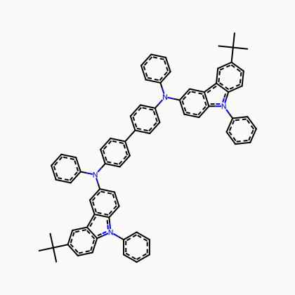 CC(C)(C)c1ccc2c(c1)c1cc(N(c3ccccc3)c3ccc(-c4ccc(N(c5ccccc5)c5ccc6c(c5)c5cc(C(C)(C)C)ccc5n6-c5ccccc5)cc4)cc3)ccc1n2-c1ccccc1